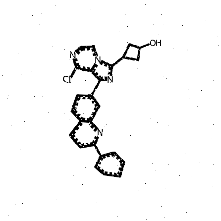 OC1CC(c2nc(-c3ccc4ccc(-c5ccccc5)nc4c3)c3c(Cl)nccn23)C1